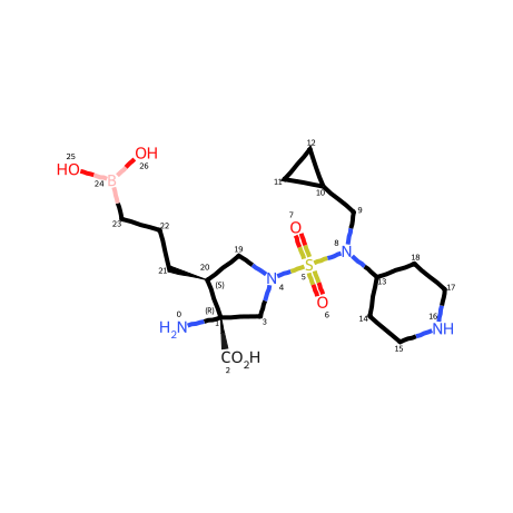 N[C@@]1(C(=O)O)CN(S(=O)(=O)N(CC2CC2)C2CCNCC2)C[C@@H]1CCCB(O)O